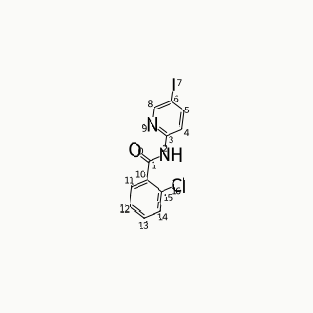 O=C(Nc1ccc(I)cn1)c1ccccc1Cl